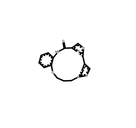 O=C1Nc2ccccc2OCCCn2cc(cn2)-c2nc1co2